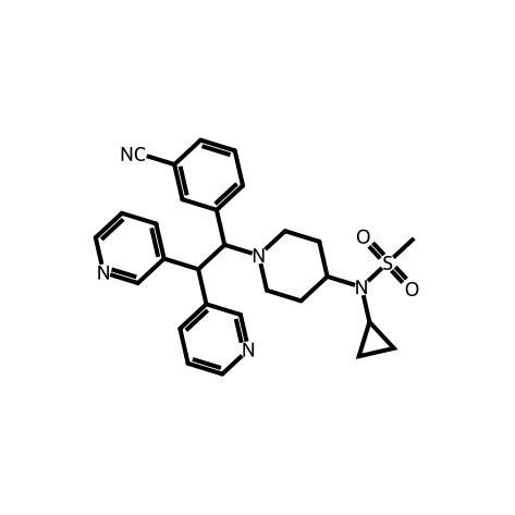 CS(=O)(=O)N(C1CC1)C1CCN(C(c2cccc(C#N)c2)C(c2cccnc2)c2cccnc2)CC1